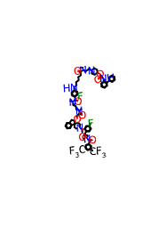 CN(CCN1CCC(OC(=O)Nc2ccccc2-c2ccccc2)CC1)C(=O)CCCCCNc1ccc(C(=O)N(C)CCCN(C)C(=O)CO[C@H]2Cc3ccccc3C23CCN(CC[C@]2(c4ccc(F)cc4)CN(C(=O)c4cc(C(F)(F)F)cc(C(F)(F)F)c4)CO2)CC3)c(F)c1